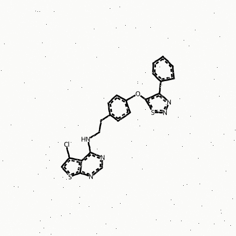 Clc1csc2ncnc(NCCc3ccc(Oc4snnc4-c4ccccc4)cc3)c12